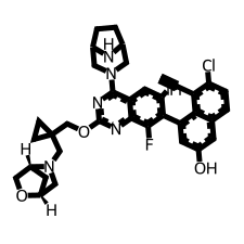 C#Cc1c(Cl)ccc2cc(O)cc(-c3c(C(C)C)cc4c(N5CC6CCC(C5)N6)nc(OCC5(CN6C[C@H]7C[C@@H]6CO7)CC5)nc4c3F)c12